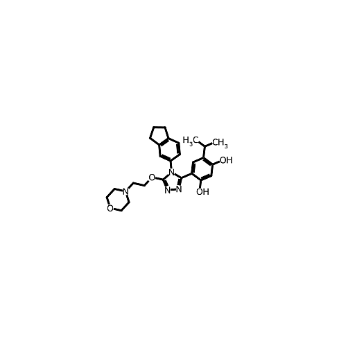 CC(C)c1cc(-c2nnc(OCCN3CCOCC3)n2-c2ccc3c(c2)CCC3)c(O)cc1O